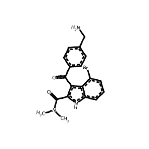 CN(C)C(=O)c1[nH]c2cccc(Br)c2c1C(=O)c1ccc(CN)cc1